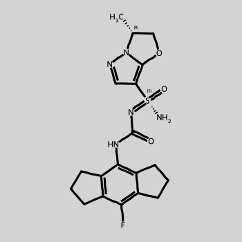 C[C@@H]1COc2c([S@@](N)(=O)=NC(=O)Nc3c4c(c(F)c5c3CCC5)CCC4)cnn21